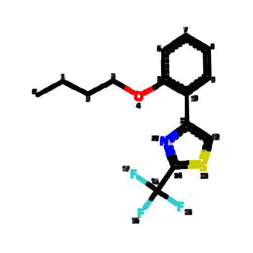 CCCCOc1ccccc1-c1csc(C(F)(F)F)n1